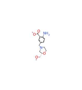 COC[C@@H]1CN(Cc2ccc(N)c(C(=O)OC)c2)CCO1